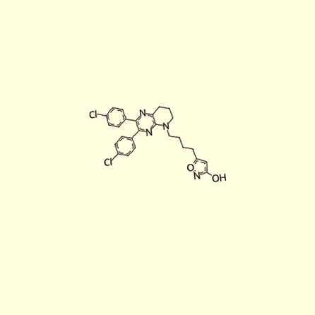 Oc1cc(CCCCN2CCCc3nc(-c4ccc(Cl)cc4)c(-c4ccc(Cl)cc4)nc32)on1